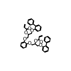 C=CC(=O)OC(COc1ccccc1OCC(COc1ccccc1-c1ccccc1)OC(=O)C=C)COc1ccccc1-c1ccccc1